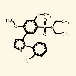 CCN(CC)S(=O)(=O)c1cc(-c2ccnn2-c2ccccc2C)c(OC)cc1OC